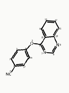 N#Cc1ccc(Oc2ncnc3ccccc23)cc1